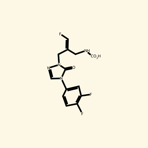 O=C(O)NC/C(=C/F)Cn1ncn(-c2ccc(F)c(F)c2)c1=O